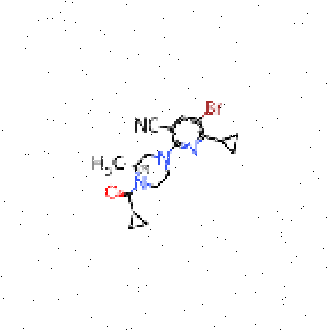 C[C@@H]1CN(c2nc(C3CC3)c(Br)cc2C#N)CCN1C(=O)C1CC1